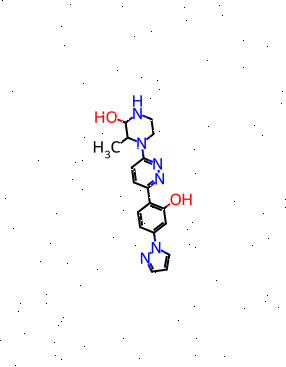 CC1C(O)NCCN1c1ccc(-c2ccc(-n3cccn3)cc2O)nn1